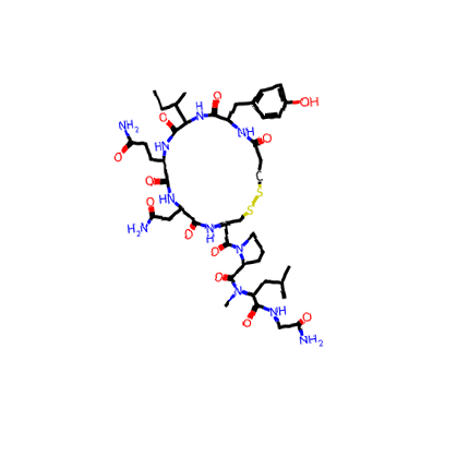 CCC(C)C1NC(=O)C(Cc2ccc(O)cc2)NC(=O)CCSSCC(C(=O)N2CCCC2C(=O)N(C)C(CC(C)C)C(=O)NCC(N)=O)NC(=O)C(CC(N)=O)NC(=O)C(CCC(N)=O)NC1=O